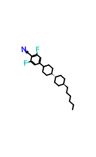 CCCCCC[C@H]1CC[C@H](C2CCC(c3cc(F)c(C#N)c(F)c3)CC2)CC1